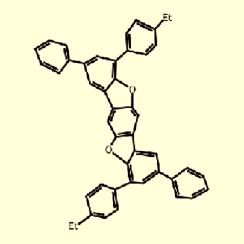 CCc1ccc(-c2cc(-c3ccccc3)cc3c2oc2cc4c(cc23)oc2c(-c3ccc(CC)cc3)cc(-c3ccccc3)cc24)cc1